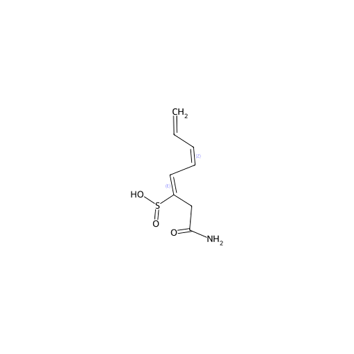 C=C/C=C\C=C(/CC(N)=O)S(=O)O